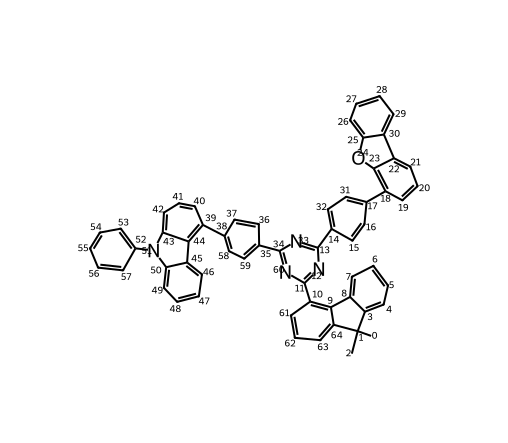 CC1(C)c2ccccc2-c2c(-c3nc(-c4ccc(-c5cccc6c5oc5ccccc56)cc4)nc(-c4ccc(-c5cccc6c5c5ccccc5n6-c5ccccc5)cc4)n3)cccc21